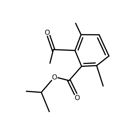 CC(=O)c1c(C)ccc(C)c1C(=O)OC(C)C